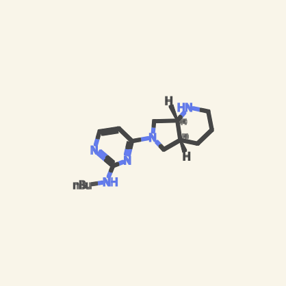 CCCCNc1nccc(N2C[C@H]3CCCN[C@H]3C2)n1